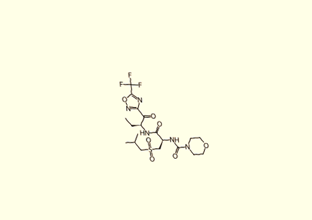 CC[C@H](NC(=O)[C@H](CS(=O)(=O)CC(C)C)NC(=O)N1CCOCC1)C(=O)c1noc(C(F)(F)F)n1